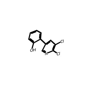 Oc1ccccc1-c1cnc(Cl)c(Cl)c1